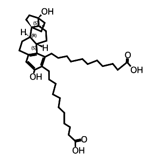 C[C@]12CC[C@@H]3c4c(cc(O)c(CCCCCCCCCCC(=O)O)c4CCCCCCCCCCC(=O)O)CC[C@H]3[C@]13CC[C@]2(O)CC3